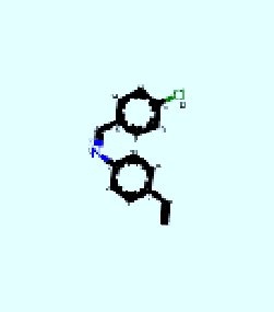 C=Cc1ccc(/N=C\c2ccc(Cl)cc2)cc1